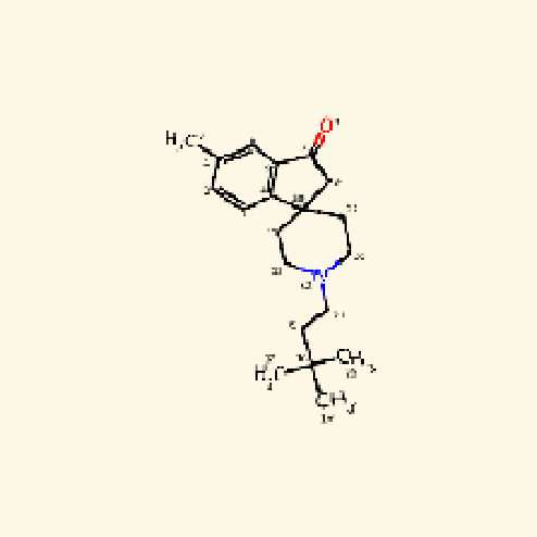 Cc1ccc2c(c1)C(=O)CC21CCN(CCC(C)(C)C)CC1